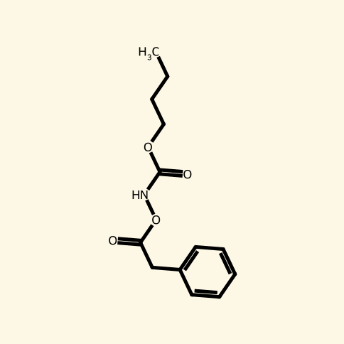 CCCCOC(=O)NOC(=O)Cc1ccccc1